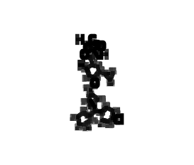 CS(=O)(=O)NC(=O)c1cc(C2CC2)c(OCC2CN(C(c3ccccc3)c3ccc(Cl)cc3)C2)cc1F